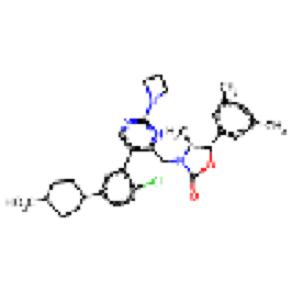 Cc1cc([C@H]2OC(=O)N(Cc3nc(N4CCC4)ncc3-c3cc(C4CCC(C(=O)O)CC4)ccc3Cl)[C@H]2C)cc(C(F)(F)F)c1